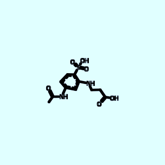 CC(=O)Nc1ccc(S(=O)(=O)O)c(NCCC(=O)O)c1